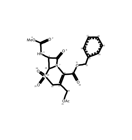 COC(=O)NC1C(=O)N2C(C(=O)OCc3ccccc3)=C(COC(C)=O)CS(=O)(=O)C12